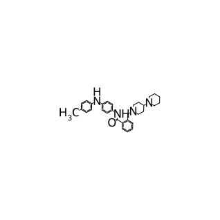 Cc1ccc(Nc2ccc(NC(=O)c3ccccc3CN3CCC(N4CCCCC4)CC3)cc2)cc1